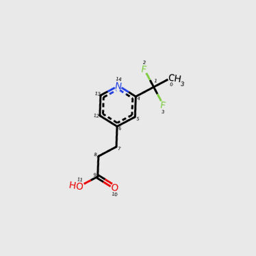 CC(F)(F)c1cc(CCC(=O)O)ccn1